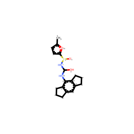 Cc1ccc([S+]([O-])NC(O)Nc2c3c(cc4c2CCC4)CCC3)o1